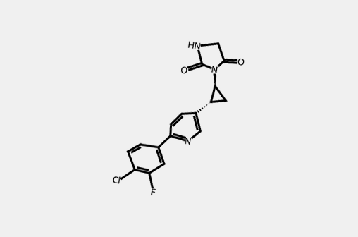 O=C1CNC(=O)N1[C@H]1C[C@@H]1c1ccc(-c2ccc(Cl)c(F)c2)nc1